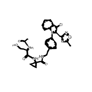 CC(=O)NC(CO)C(=O)NC1(C(=O)NCc2ccc(-n3c(-c4noc(C)n4)c(Cl)c4ccccc43)cc2)CC1